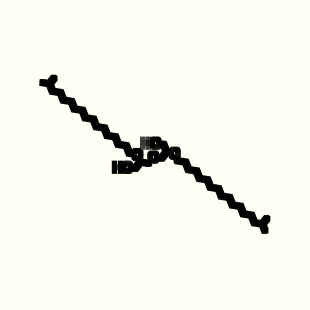 CC(C)CCCCCCCCCCCCCCCOC(CO)COCC(CO)OCCCCCCCCCCCCCCCC(C)C